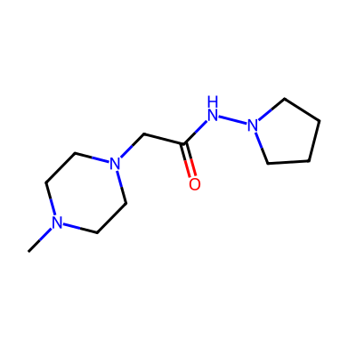 CN1CCN(CC(=O)NN2CCCC2)CC1